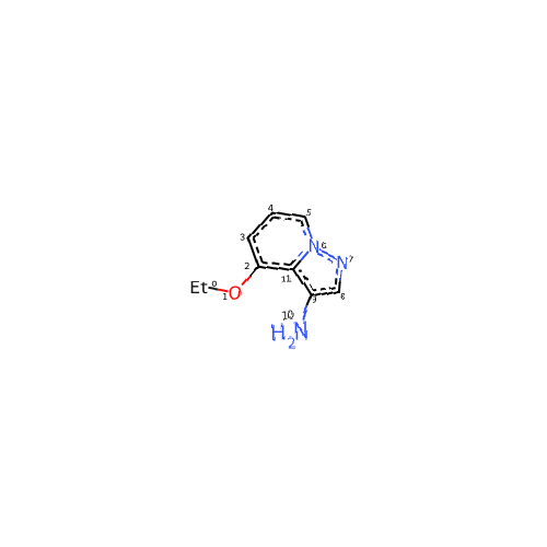 CCOc1cccn2ncc(N)c12